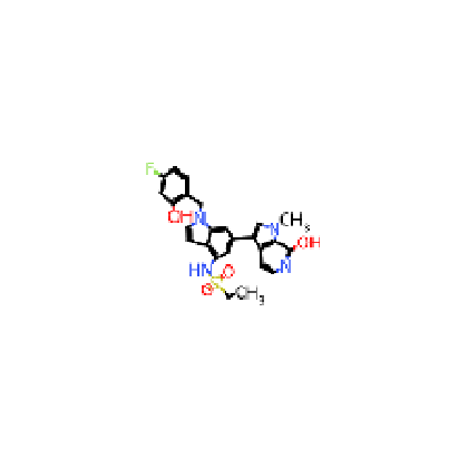 CCS(=O)(=O)Nc1cc(-c2cn(C)c3c(O)nccc23)cc2c1ccn2Cc1ccc(F)cc1O